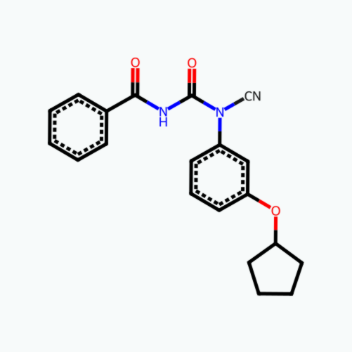 N#CN(C(=O)NC(=O)c1ccccc1)c1cccc(OC2CCCC2)c1